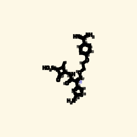 CC1C(NC(=O)/C(=N\OCCOc2cnc(C(=N)N)cn2)c2csc(N)n2)C(=O)N1S(=O)(=O)O